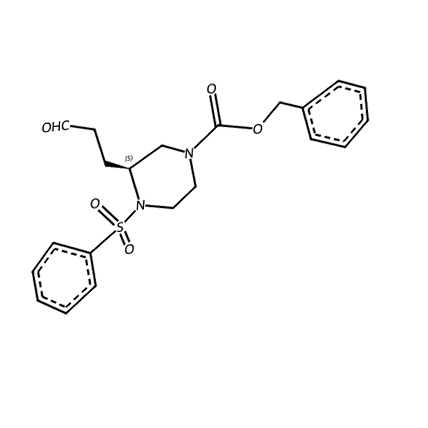 O=CCC[C@H]1CN(C(=O)OCc2ccccc2)CCN1S(=O)(=O)c1ccccc1